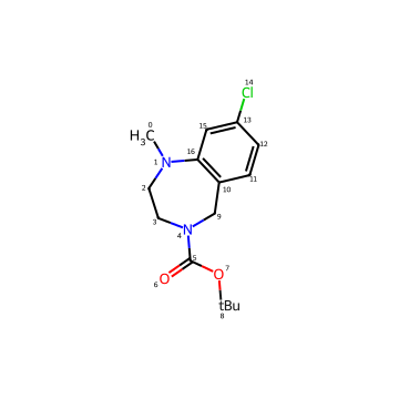 CN1CCN(C(=O)OC(C)(C)C)Cc2ccc(Cl)cc21